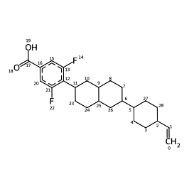 C=CC1CCC(C2CCC3CC(c4c(F)cc(C(=O)O)cc4F)CCC3C2)CC1